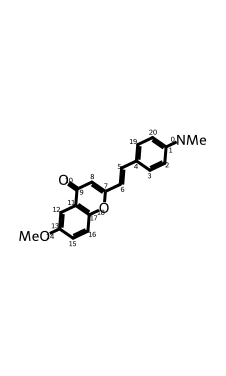 CNc1ccc(/C=C/c2cc(=O)c3cc(OC)ccc3o2)cc1